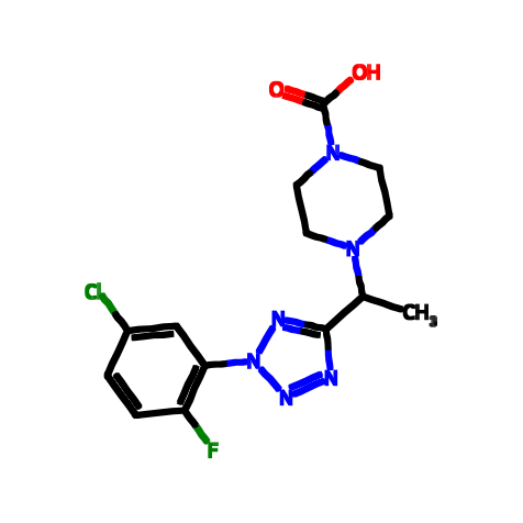 CC(c1nnn(-c2cc(Cl)ccc2F)n1)N1CCN(C(=O)O)CC1